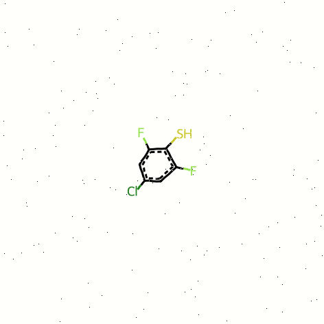 Fc1cc(Cl)cc(F)c1S